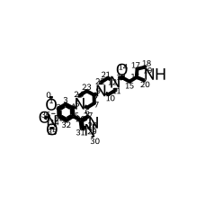 COc1cc(N2CCC(N3CCN(C(=O)CC4CCNC4)CC3)CC2)c(-c2cnn(C)c2)cc1[N+](=O)[O-]